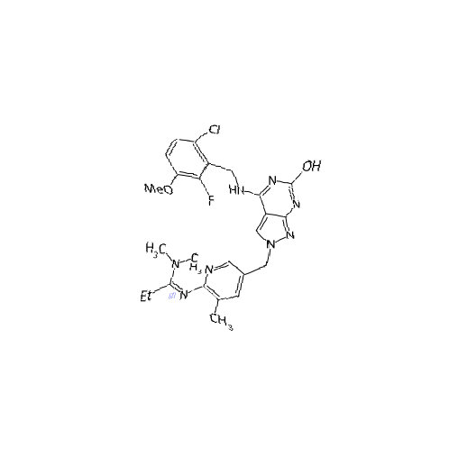 CC/C(=N/c1ncc(Cn2cc3c(NCc4c(Cl)ccc(OC)c4F)nc(O)nc3n2)cc1C)N(C)C